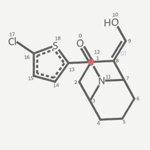 O=C1CC2CCCC(/C1=C/O)N2Sc1ccc(Cl)s1